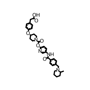 CC1CCCCN1Cc1ccc(C(=O)Nc2ccc(OC(=O)N3CCC(Oc4ccc(CC(=O)O)cc4)CC3)nc2)cc1